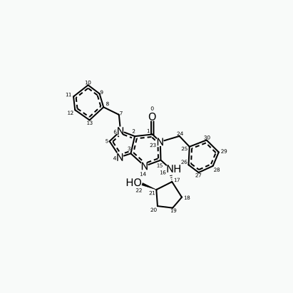 O=c1c2c(ncn2Cc2ccccc2)nc(N[C@@H]2CCC[C@H]2O)n1Cc1ccccc1